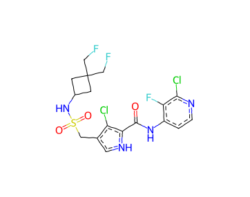 O=C(Nc1ccnc(Cl)c1F)c1[nH]cc(CS(=O)(=O)NC2CC(CF)(CF)C2)c1Cl